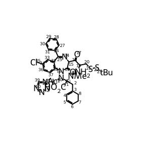 CN[C@](CC1=CC=CCC1)(C(=O)O)N(C(C)=O)N1C(=O)C(C(=O)C(N)CSSC(C)(C)C)N=C(c2ccccc2)c2cc(Cl)ccc21.c1nnn[nH]1